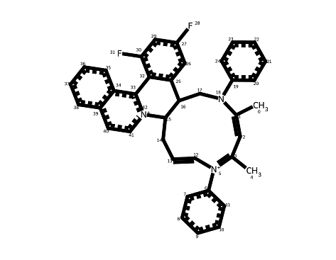 C/C1=C/C(C)=[N+](c2ccccc2)\C=C\CC2C(CN1c1ccccc1)c1cc(F)cc(F)c1-c1c3ccccc3cc[n+]12